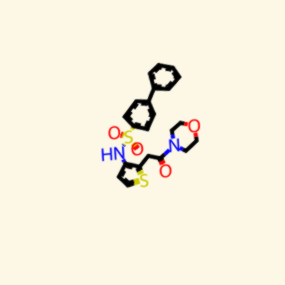 O=C(Cc1sccc1NS(=O)(=O)c1ccc(-c2ccccc2)cc1)N1CCOCC1